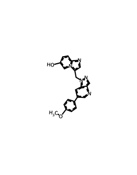 COc1ccc(-c2cnc3cnn(Cc4cnc5ccc(O)cn45)c3c2)cc1